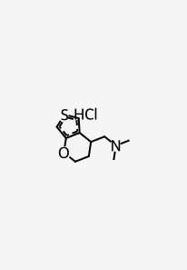 CN(C)CC1CCOc2cscc21.Cl